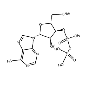 COC[C@H]1O[C@@H](n2cnc3c(S)ncnc32)[C@H](O)[C@@H]1OP(=O)(O)OP(=O)(O)O